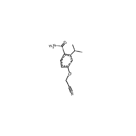 CC(C)c1cc(OCC#N)ccc1C(N)=O